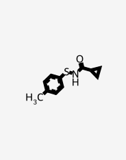 Cc1ccc(SNC(=O)C2CC2)cc1